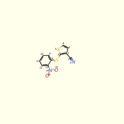 N#Cc1ccsc1Sc1ccccc1[N+](=O)[O-]